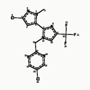 Cn1nc(Cl)cc1-c1nc(C(F)(F)F)cn1Cc1ncc(Cl)cn1